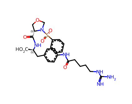 N=C(N)NCCCCC(=O)Nc1ccc(C[C@H](NC(=O)[C@@H]2COCN2S(=O)(=O)c2ccccc2)C(=O)O)cc1